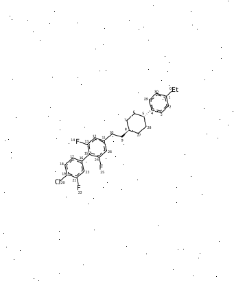 CCc1ccc([C@H]2CC[C@H](CCc3cc(F)c(-c4ccc(Cl)c(F)c4)c(F)c3)CC2)cc1